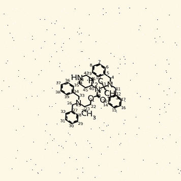 [CH2][C@](C)(N(Cc1ccccc1)Cc1ccccc1)N(C(=O)OC[C@H](C)N(Cc1ccccc1)Cc1ccccc1)C1CCNCC1